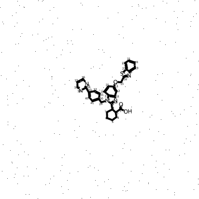 O=C(O)C1CCCCC1c1nc2cc(OCc3nc4ccccc4s3)ccc2n1Cc1ccc(-c2ncccn2)cc1